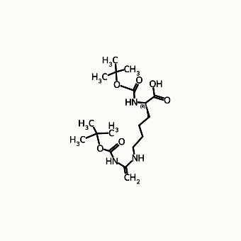 C=C(NCCCC[C@@H](NC(=O)OC(C)(C)C)C(=O)O)NC(=O)OC(C)(C)C